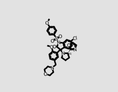 COc1ccc(S(=O)(=O)N2C(=O)C(c3cc(CN4CCOCC4)ccc3OC)(N3CCC[C@H]3c3ncco3)c3ccc(Cl)cc32)cc1